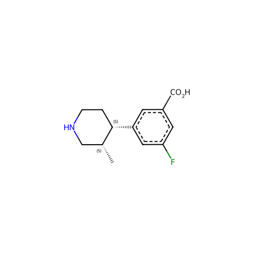 C[C@@H]1CNCC[C@@H]1c1cc(F)cc(C(=O)O)c1